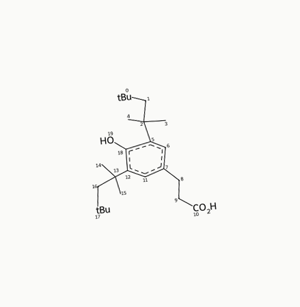 CC(C)(C)CC(C)(C)c1cc(CCC(=O)O)cc(C(C)(C)CC(C)(C)C)c1O